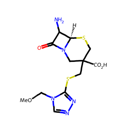 COCn1cnnc1SCC1(C(=O)O)CS[C@@H]2C(N)C(=O)N2C1